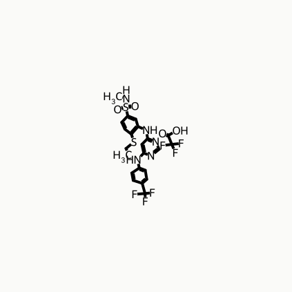 CCSc1ccc(S(=O)(=O)NC)cc1Nc1cc(Nc2ccc(C(F)(F)F)cc2)ncn1.O=C(O)C(F)(F)F